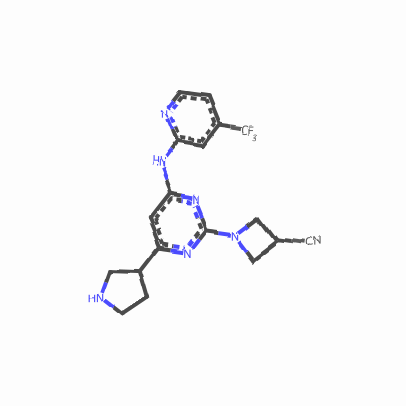 N#CC1CN(c2nc(Nc3cc(C(F)(F)F)ccn3)cc(C3CCNC3)n2)C1